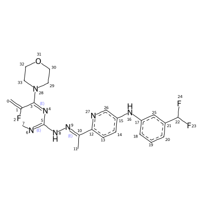 C=C(F)/C(=N\C(=N/C)N/N=C(\C)c1ccc(Nc2cccc(C(F)F)c2)cn1)N1CCOCC1